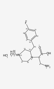 Cl.Cl.Cl.NCC(C(=O)O)N1CCNCC1Cc1ccc(F)cc1